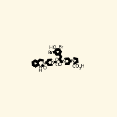 O=C(O)C1CCCN1C1CCN(C(=O)C(Cc2cc(Br)c(O)c(Br)c2)OC(=O)N2CCC(N3CCc4ccccc4NC3=O)CC2)CC1